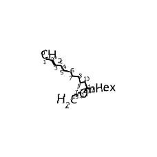 C=CC=CCCCCCCCC(CCCCCC)OC=C